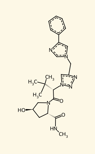 CNC(=O)[C@@H]1C[C@@H](O)CN1C(=O)[C@@H](n1cc(Cn2cnc(-c3ccccc3)c2)nn1)C(C)(C)C